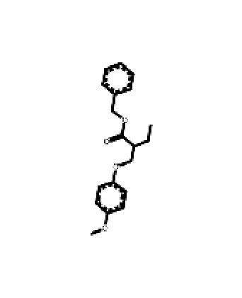 CCC(COc1ccc(OC)cc1)C(=O)OCc1ccccc1